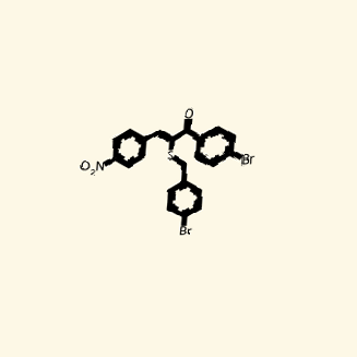 O=C(C(=Cc1ccc([N+](=O)[O-])cc1)SCc1ccc(Br)cc1)c1ccc(Br)cc1